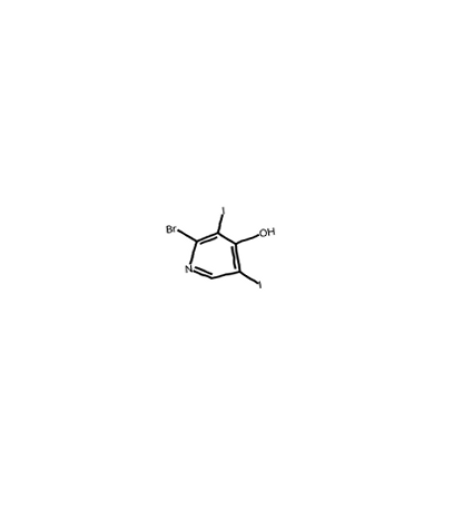 Oc1c(I)cnc(Br)c1I